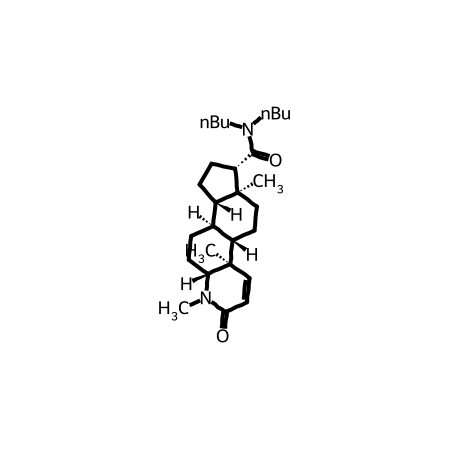 CCCCN(CCCC)C(=O)[C@H]1CC[C@H]2[C@@H]3CC[C@H]4N(C)C(=O)C=C[C@]4(C)[C@H]3CC[C@]12C